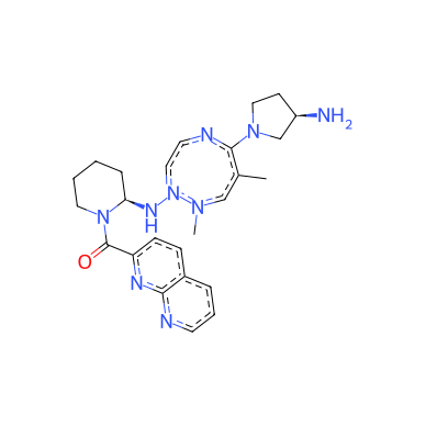 Cc1cn(C)n(N[C@@H]2CCCCN2C(=O)c2ccc3cccnc3n2)ccnc1N1CC[C@@H](N)C1